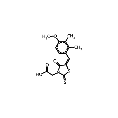 COc1ccc(C=C2SC(=S)N(CC(=O)O)C2=O)c(C)c1C